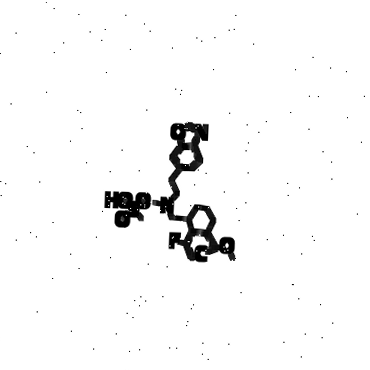 COc1ccc(F)c2c1CCCC2CN(C)CCc1ccc2ncoc2c1.CS(=O)(=O)O